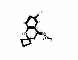 CO/N=C1\CC2(CCC2)Oc2ccc(F)cc21